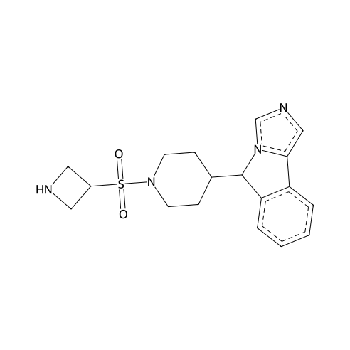 O=S(=O)(C1CNC1)N1CCC(C2c3ccccc3-c3cncn32)CC1